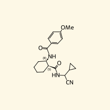 COc1ccc(C(=O)N[C@@H]2CCCC[C@@H]2C(=O)NC(C#N)C2CC2)cc1